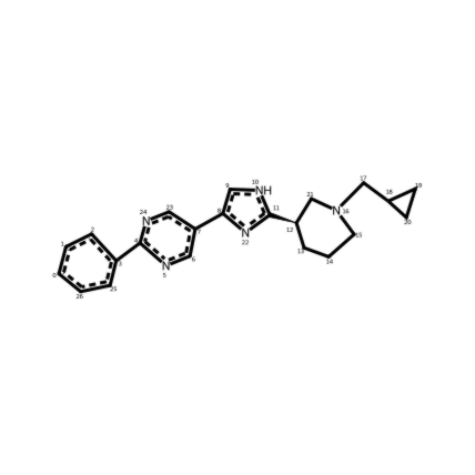 c1ccc(-c2ncc(-c3c[nH]c([C@@H]4CCCN(CC5CC5)C4)n3)cn2)cc1